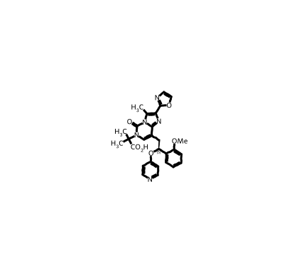 COc1ccccc1[C@H](Cc1cn(C(C)(C)C(=O)O)c(=O)n2c(C)c(-c3ncco3)nc12)Oc1ccncc1